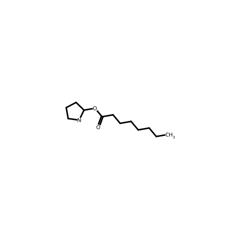 CCCCCCCC(=O)OC1CCC[N]1